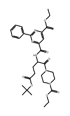 C=C(OCC)c1cc(C(=O)NC(CCC(=O)OC(C)(C)C)C(=O)N2CCN(C(=O)OCC)CC2)nc(-c2ccccc2)n1